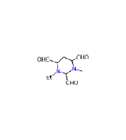 CCN1C(C=O)CC(C=O)N(C)C1C=O